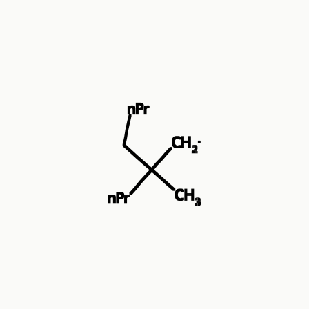 [CH2]C(C)(CCC)CCCC